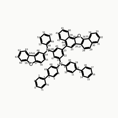 c1ccc(-c2ccc(N(c3ccc(-c4ccccc4)cc3)c3cc(-c4cc5c6ccc7ccccc7c6oc5c5ccccc45)cc(N(c4ccccc4)c4ccc5oc6ccccc6c5c4)c3)cc2)cc1